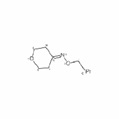 CC(C)CON=C1CCOCC1